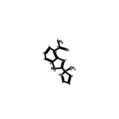 C[C@@]1(c2nc3c(C(N)=O)cccc3[nH]2)C=CC=N1